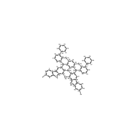 Cc1ccc2c(c1)oc1c3c4c(cc12)B1c2cccc(-c5ccccc5)c2Sc2cc5c6c(c21)N4c1c(cc2c(oc4cc(C)ccc42)c1O3)B6c1cccc(-c2ccccc2)c1S5